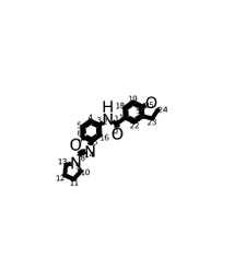 O=C(Nc1ccc2oc(N3CCCC3)nc2c1)c1ccc2c(c1)CCO2